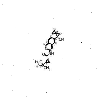 CC(C)(O)[C@@H]1C[C@H]1C(=O)Nc1cc2cc([C@]3(C#N)CC34CC4)ccc2cn1